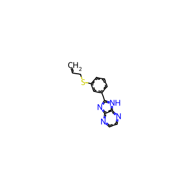 C=CCSc1cccc(-c2nc3nccnc3[nH]2)c1